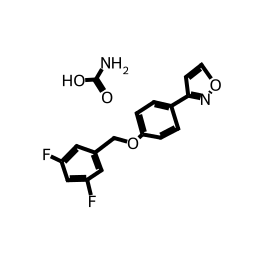 Fc1cc(F)cc(COc2ccc(-c3ccon3)cc2)c1.NC(=O)O